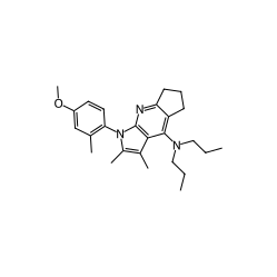 CCCN(CCC)c1c2c(nc3c1c(C)c(C)n3-c1ccc(OC)cc1C)CCC2